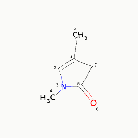 CC1=CN(C)C(=O)C1